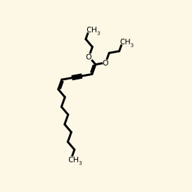 CCCCCCCC/C=C\C#CC=C(OCCC)OCCC